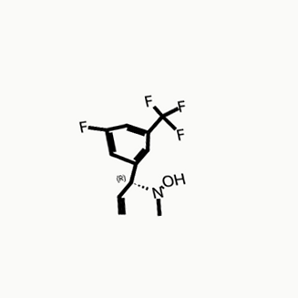 C=C[C@H](c1cc(F)cc(C(F)(F)F)c1)N(C)O